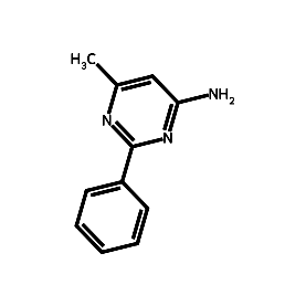 Cc1cc(N)nc(-c2ccccc2)n1